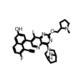 C#Cc1c(F)ccc2cc(O)cc(-c3cnc4c(N5CC6CCC(C5)N6)nc(OCC5CCCN5C)nc4c3I)c12